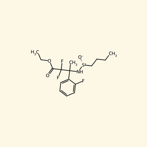 CCCC[S@@+]([O-])NC(C)(c1ccccc1F)C(F)(F)C(=O)OCC